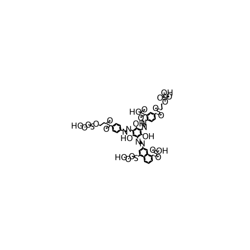 O=S(=O)(O)OCCS(=O)(=O)c1ccc(/N=N/c2c(O)c(/N=N/c3ccc(S(=O)(=O)CCOSOOO)cc3)c(O)c(/N=N/c3cc(SOOO)c4cccc(S(=O)(=O)O)c4c3)c2O)c(S(=O)(=O)O)c1